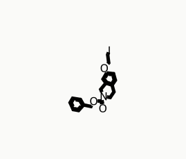 O=C(OCc1ccccc1)N1CCc2ccc(OCCI)cc2C1